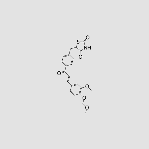 COCOc1ccc(C=CC(=O)c2ccc(CC3SC(=O)NC3=O)cc2)cc1OC